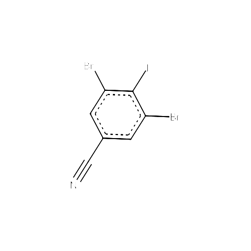 N#Cc1cc(Br)c(I)c(Br)c1